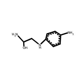 Nc1ccc(NCC(N)O)cc1